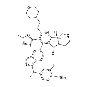 Cc1nnc(-c2c(CCC3CCOCC3)nc3c(c2-c2ccc4c(cnn4C(C)c4ccc(C#N)c(F)c4)c2)C(=O)N2CCOC[C@@H]32)o1